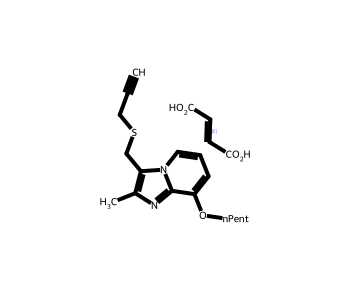 C#CCSCc1c(C)nc2c(OCCCCC)cccn12.O=C(O)/C=C/C(=O)O